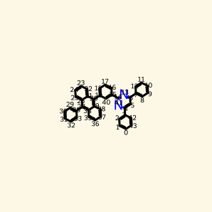 c1ccc(-c2cc(-c3ccccc3)nc(-c3cccc(-c4c5ccccc5c(-c5ccccc5)c5ccccc45)c3)n2)cc1